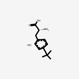 CC(C)(C)c1ccc(C[C@@H](N)C(=O)O)cc1.Cl